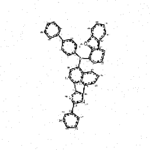 c1ccc(-c2ccc(N(c3ccc4c5c(cccc35)-c3nc(-c5ccccc5)sc3-4)c3cccc4c3oc3ccccc34)cc2)cc1